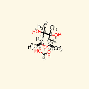 C=COC=C.CC(C)(O)C(C)(C)O.OBO